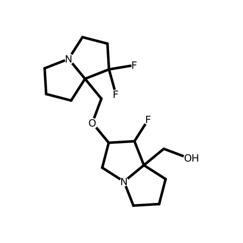 OCC12CCCN1CC(OCC13CCCN1CCC3(F)F)C2F